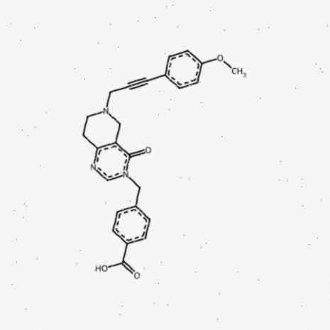 COc1ccc(C#CCN2CCc3ncn(Cc4ccc(C(=O)O)cc4)c(=O)c3C2)cc1